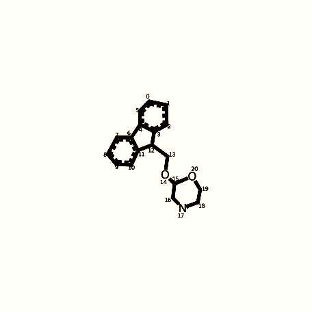 c1ccc2c(c1)-c1ccccc1C2COC1C[N]CCO1